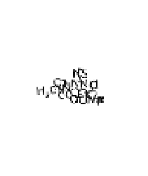 CCOC(=O)[C@@H]1[C@@H](C)OCCN1CC1=C(C(=O)OC)C(c2ccc(F)cc2Cl)N=C(c2nccs2)N1